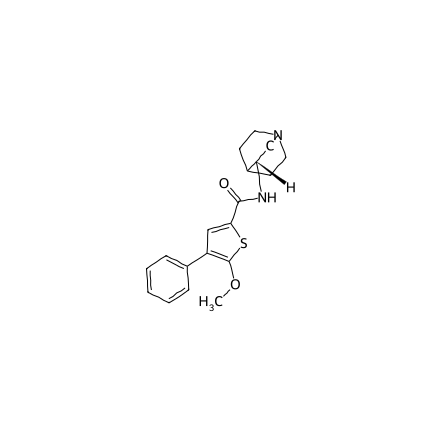 COc1sc(C(=O)N[C@H]2CN3CCC2CC3)cc1-c1ccccc1